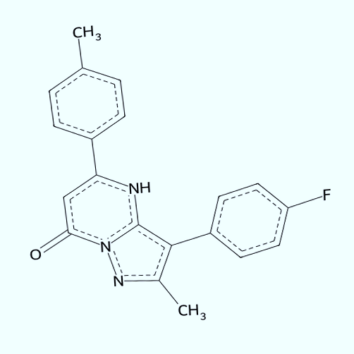 Cc1ccc(-c2cc(=O)n3nc(C)c(-c4ccc(F)cc4)c3[nH]2)cc1